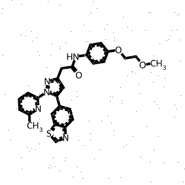 COCCOc1ccc(NC(=O)Cc2cc(-c3ccc4ncsc4c3)n(-c3cccc(C)n3)n2)cc1